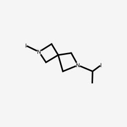 CC(I)N1CC2(CN(I)C2)C1